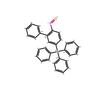 O=Pc1ccc([Si](c2ccccc2)(c2ccccc2)c2ccccc2)cc1-c1ccccc1